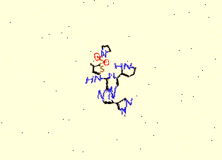 CC1C=C(Nc2nc(C3=CCCNC3)cn3c(-c4cnn(C)c4)cnc23)SC1S(=O)(=O)N1CCC1